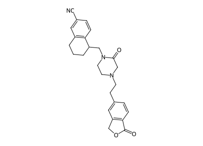 N#Cc1ccc2c(c1)CCCC2CN1CCN(CCc2ccc3c(c2)COC3=O)CC1=O